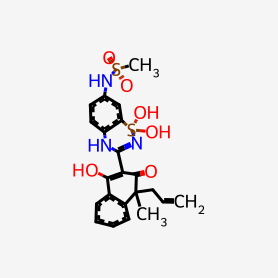 C=CCC1(C)C(=O)C(C2=NS(O)(O)c3cc(NS(C)(=O)=O)ccc3N2)=C(O)c2ccccc21